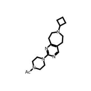 CC(=O)N1CCN(c2ncc3c(n2)CCN(C2CCC2)CC3)CC1